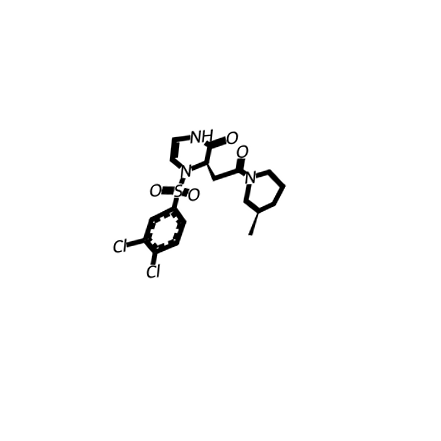 C[C@@H]1CCCN(C(=O)C[C@@H]2C(=O)NC=CN2S(=O)(=O)c2ccc(Cl)c(Cl)c2)C1